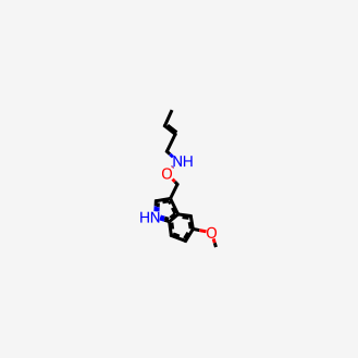 C/C=C/CNOCc1c[nH]c2ccc(OC)cc12